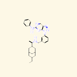 C=C(NCc1cccc(-n2nnc3cnc(Nc4ccccc4)nc32)c1)C1CC2CC(CC)CC(C2)C1